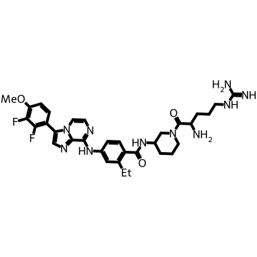 CCc1cc(Nc2nccn3c(-c4ccc(OC)c(F)c4F)cnc23)ccc1C(=O)NC1CCCN(C(=O)C(N)CCCNC(=N)N)C1